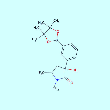 CN1C(=O)C(O)(c2cccc(B3OC(C)(C)C(C)(C)O3)c2)CC1C(F)(F)F